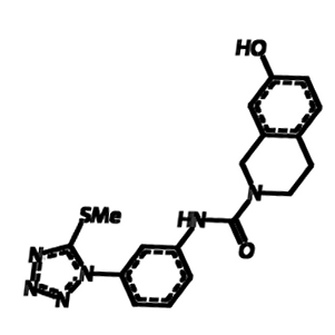 CSc1nnnn1-c1cccc(NC(=O)N2CCc3ccc(O)cc3C2)c1